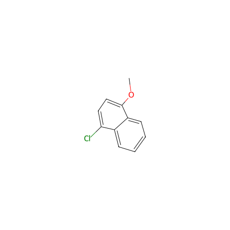 COc1ccc(Cl)c2ccccc12